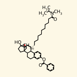 CC(C)N(C)C(=O)CCCCCCCCCC[C@H]1C[C@]2(C)C3(O)CCC2(CC3)C2CCc3cc(OC(=O)c4ccccc4)ccc3C21